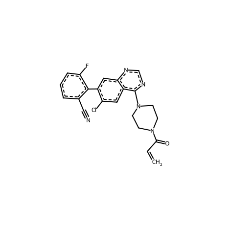 C=CC(=O)N1CCN(c2ncnc3cc(-c4c(F)cccc4C#N)c(Cl)cc23)CC1